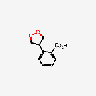 O=C(O)c1ccccc1C1COOC1